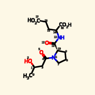 CC(O)CC(=O)N1CCC[C@H]1C(=O)NC(CCC(=O)O)C(=O)O